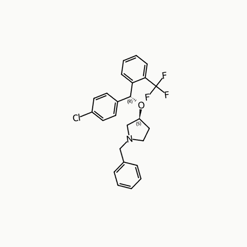 FC(F)(F)c1ccccc1[C@H](O[C@H]1CCN(Cc2ccccc2)C1)c1ccc(Cl)cc1